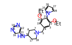 CCOc1cc(CN2CCC(Nc3cncnc3)CC2)cc(OCC)c1-n1cccc1